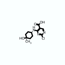 C[C@]1(O)CC[C@H](Nc2nc(Cl)ncc2C(=O)O)CC1